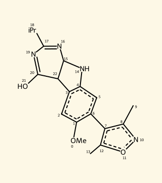 COc1cc2c(cc1-c1c(C)noc1C)NC1N=C(C(C)C)N=C(O)C21